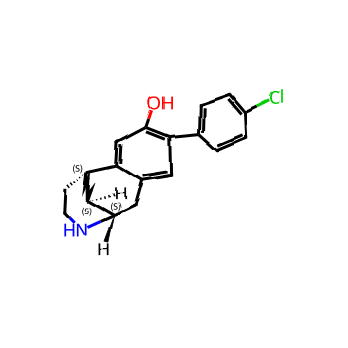 Oc1cc2c(cc1-c1ccc(Cl)cc1)C[C@@H]1NCC[C@]23CCCC[C@H]13